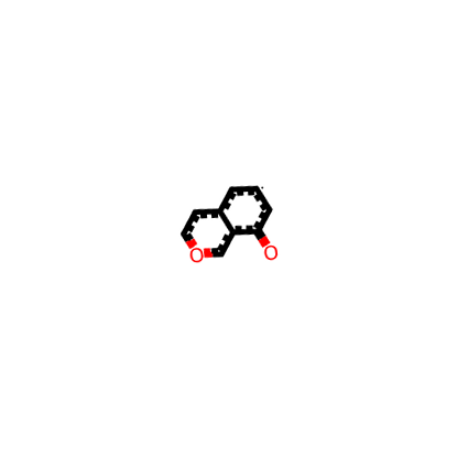 O=c1c[c]cc2ccocc1-2